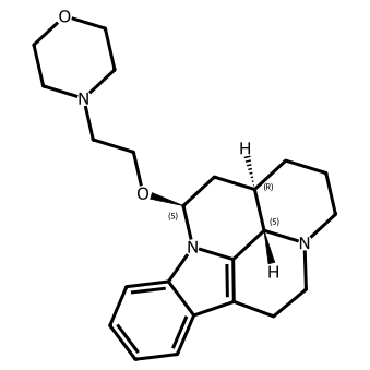 c1ccc2c(c1)c1c3n2[C@@H](OCCN2CCOCC2)C[C@H]2CCCN(CC1)[C@H]32